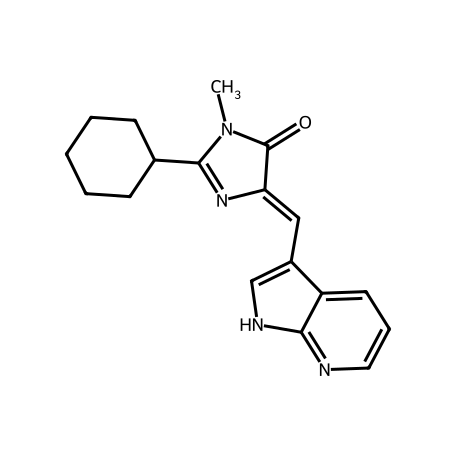 CN1C(=O)/C(=C/c2c[nH]c3ncccc23)N=C1C1CCCCC1